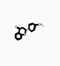 CC1=CCC([C@H]2CC(=O)c3ccccc3O2)C=C1